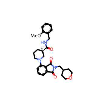 COc1ccccc1CNC(=O)[C@@H]1CCCN(c2cccc3c2C(=O)N(CC2CCOCC2)C3=O)C1